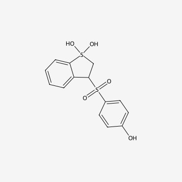 O=S(=O)(c1ccc(O)cc1)C1CS(O)(O)c2ccccc21